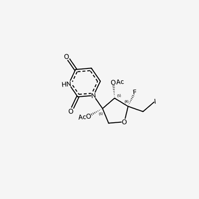 CC(=O)O[C@@H]1[C@@](F)(CI)OC[C@@]1(OC(C)=O)n1ccc(=O)[nH]c1=O